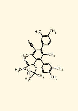 COC(=O)C(OC(C)(C)C)c1c(C)c(C#N)c(-c2ccc(C)c(C)c2)c(C)c1-c1ccc(C)c(C)c1